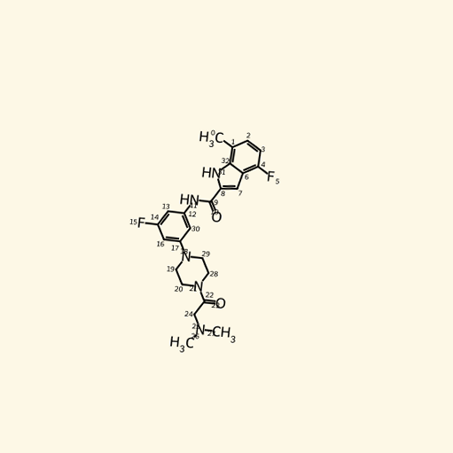 Cc1ccc(F)c2cc(C(=O)Nc3cc(F)cc(N4CCN(C(=O)CN(C)C)CC4)c3)[nH]c12